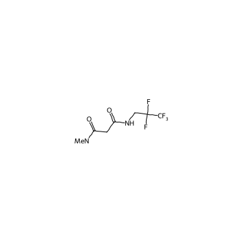 CNC(=O)CC(=O)NCC(F)(F)C(F)(F)F